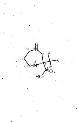 CC(C)(C)C1(C(=O)O)CNCCCN1